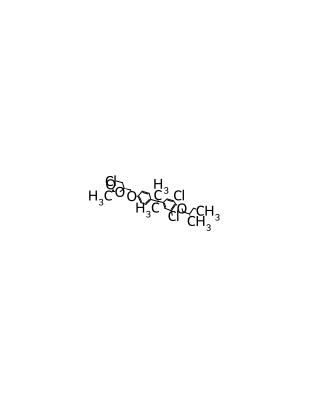 CC[C@H](C)COc1c(Cl)cc(C(C)(C)c2ccc(OC[C@H](CCl)OC(C)=O)cc2)cc1Cl